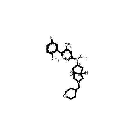 Cc1ccc(F)cc1-c1nnc(N(C)[C@H]2C[C@@H]3CN(CC4CCOCC4)C[C@@H]3C2)cc1C(F)(F)F